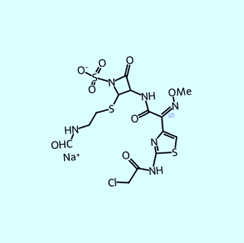 CO/N=C(\C(=O)NC1C(=O)N(S(=O)(=O)[O-])C1SCCNC=O)c1csc(NC(=O)CCl)n1.[Na+]